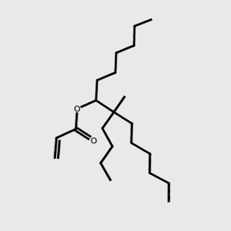 C=CC(=O)OC(CCCCCC)C(C)(CCCC)CCCCCC